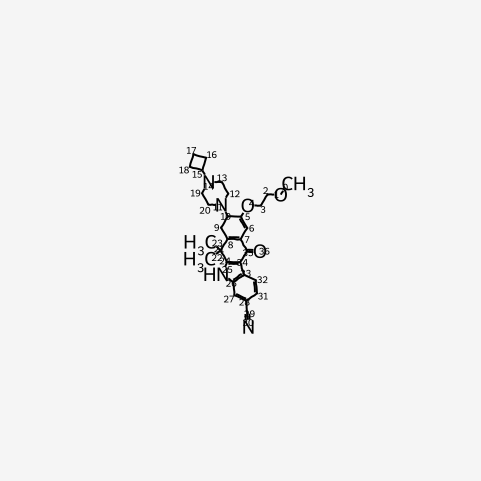 COCCOC1=CC2=C(CC1N1CCN(C3CCC3)CC1)C(C)(C)c1[nH]c3cc(C#N)ccc3c1C2=O